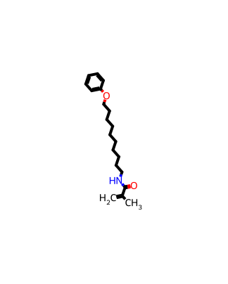 C=C(C)C(=O)NCCCCCCCCCCOc1ccccc1